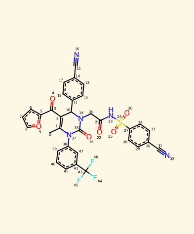 CC1=C(C(=O)c2ccco2)C(c2ccc(C#N)cc2)N(CC(=O)NS(=O)(=O)c2ccc(C#N)cc2)C(=O)N1c1cccc(C(F)(F)F)c1